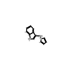 c1ccc2c(Nn3cccc3)c[nH]c2c1